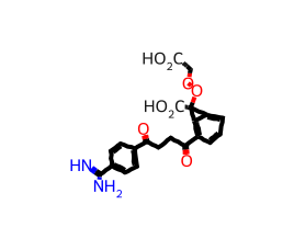 N=C(N)c1ccc(C(=O)CCC(=O)c2cccc3c2C3(OOCC(=O)O)C(=O)O)cc1